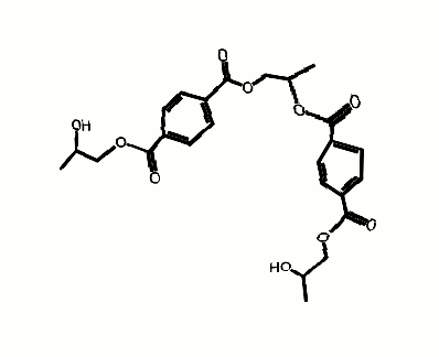 CC(O)COC(=O)c1ccc(C(=O)OCC(C)OC(=O)c2ccc(C(=O)OCC(C)O)cc2)cc1